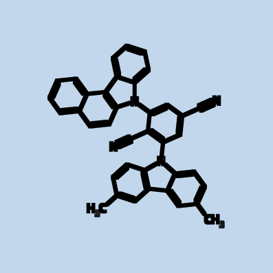 Cc1ccc2c(c1)c1cc(C)ccc1n2-c1cc(C#N)cc(-n2c3ccccc3c3c4ccccc4ccc32)c1C#N